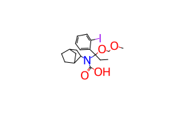 CCC(OCOC)(c1ccccc1I)N(C(=O)O)C1CC2CCC1C2